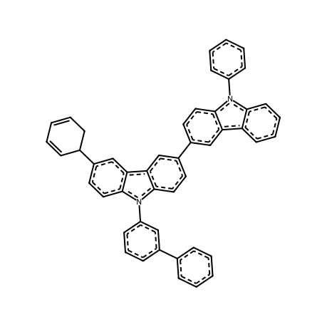 C1=CCC(c2ccc3c(c2)c2cc(-c4ccc5c(c4)c4ccccc4n5-c4ccccc4)ccc2n3-c2cccc(-c3ccccc3)c2)C=C1